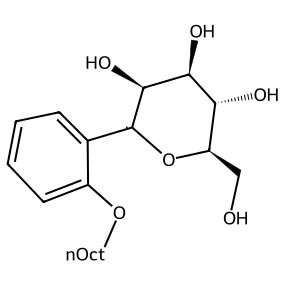 CCCCCCCCOc1ccccc1[C]1O[C@H](CO)[C@@H](O)[C@H](O)[C@@H]1O